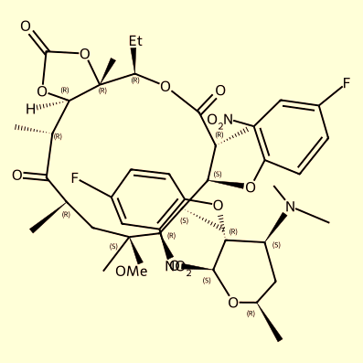 CC[C@H]1OC(=O)[C@H](C)[C@@H](Oc2ccc(F)cc2[N+](=O)[O-])[C@H](C)[C@@H](O[C@@H]2O[C@H](C)C[C@H](N(C)C)[C@H]2Oc2ccc(F)cc2[N+](=O)[O-])[C@@](C)(OC)C[C@@H](C)C(=O)[C@H](C)[C@H]2OC(=O)O[C@@]21C